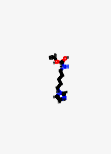 CC(C)(C)OC(=O)NCCCCCn1ccnc1